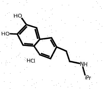 CC(C)NCCc1ccc2cc(O)c(O)cc2c1.Cl